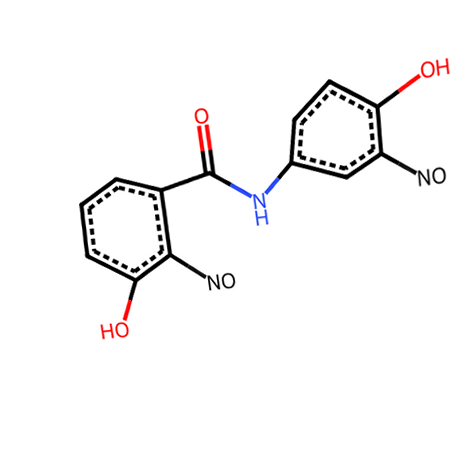 O=Nc1cc(NC(=O)c2cccc(O)c2N=O)ccc1O